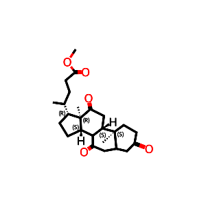 COC(=O)CCC(C)[C@H]1CC[C@H]2C3C(=O)CC4CC(=O)CC[C@]4(C)[C@H]3CC(=O)[C@]12C